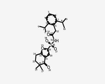 CC(C)c1cccc(C(C)C)c1CC(=O)NS(=O)(=O)c1cc2c(o1)CCC(C)(C)C2=O